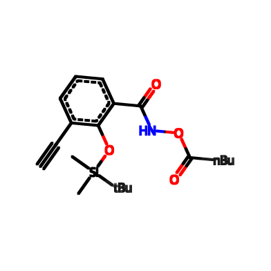 C#Cc1cccc(C(=O)NOC(=O)CCCC)c1O[Si](C)(C)C(C)(C)C